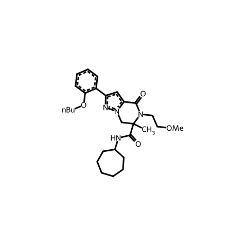 CCCCOc1ccccc1-c1cc2n(n1)CC(C)(C(=O)NC1CCCCCC1)N(CCOC)C2=O